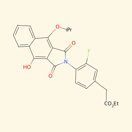 CCOC(=O)Cc1ccc(N2C(=O)c3c(c(OC(C)C)c4ccccc4c3O)C2=O)c(F)c1